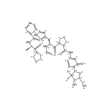 C[C@@H](NC(=O)c1ccncc1)C(=O)N1CCC[C@H]1C(=O)N[C@@H](Cc1c[nH]cn1)C(=O)N1CCCC1C(=O)Nc1ccn(C2OC(CO)C(O)C2(F)F)c(=O)n1